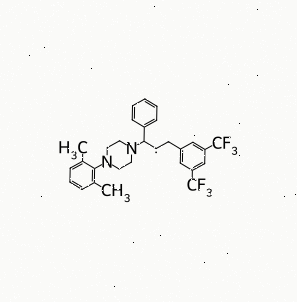 Cc1cccc(C)c1N1CCN(C([CH]Cc2cc(C(F)(F)F)cc(C(F)(F)F)c2)c2ccccc2)CC1